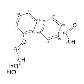 Cl.Cl.O=CO.O=CO.c1ccccc1.c1ccccc1